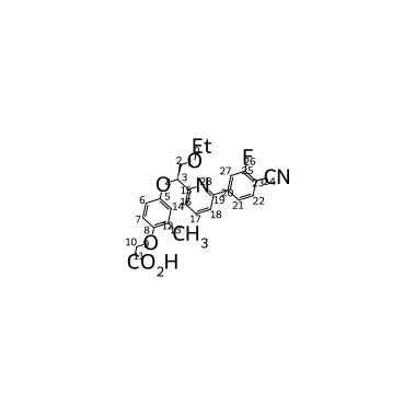 CCOC[C@H](Oc1ccc(OCC(=O)O)c(C)c1)c1cccc(-c2ccc(C#N)c(F)c2)n1